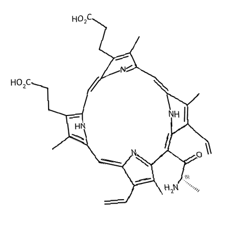 C=CC1=C(C)c2nc1cc1[nH]c(cc3nc(cc4[nH]c(c(C=C)c4C)c2C(=O)[C@H](C)N)C(C)=C3CCC(=O)O)c(CCC(=O)O)c1C